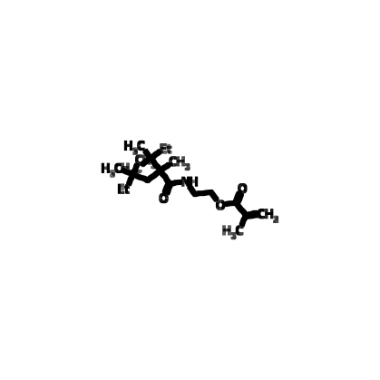 C=C(C)C(=O)OCCNC(=O)C(C)(CC(C)(C)CC)C(C)(C)CC